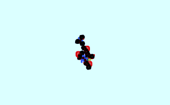 c1ccc(-n2c3ccccc3c3cc(-c4ccc5c(c4)oc4cccc(-c6ccc7oc8cccc(-c9nc(-c%10ccc%11c(c%10)oc%10ccccc%10%11)nc(-c%10cccc%11c%10sc%10ccccc%10%11)n9)c8c7c6)c45)ccc32)cc1